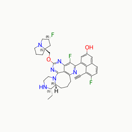 C#Cc1c(F)ccc2cc(O)cc(-c3nc4c5c(nc(OC[C@@]67CCCN6C[C@H](F)C7)nc5c3F)N3CCN[C@@H](CC)[C@H]3CCC4)c12